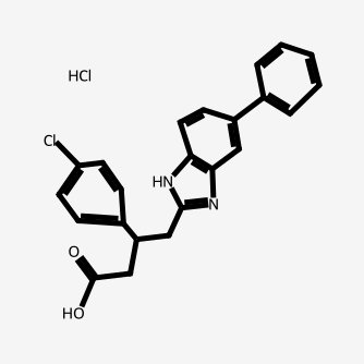 Cl.O=C(O)CC(Cc1nc2cc(-c3ccccc3)ccc2[nH]1)c1ccc(Cl)cc1